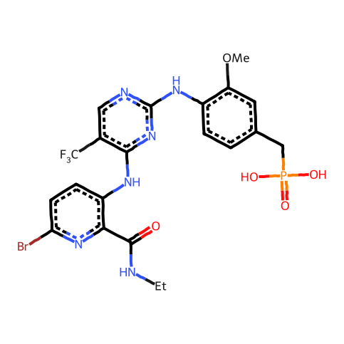 CCNC(=O)c1nc(Br)ccc1Nc1nc(Nc2ccc(CP(=O)(O)O)cc2OC)ncc1C(F)(F)F